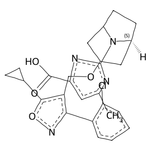 Cc1cc(C(=O)O)nc(N2C3CC[C@H]2CC(OCc2c(-c4ccccc4Cl)noc2C2CC2)C3)n1